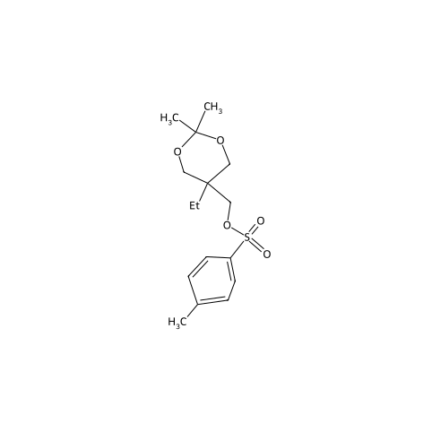 CCC1(COS(=O)(=O)c2ccc(C)cc2)COC(C)(C)OC1